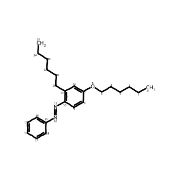 CCCCCCOc1ccc(N=Nc2ccccc2)c(CCCCCC)c1